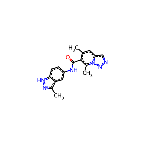 Cc1cc2cnnn2c(C)c1C(=O)Nc1ccc2[nH]nc(C)c2c1